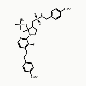 COc1ccc(CNS(=O)(=O)CC2CCN(c3nccc(OCc4ccc(OC)cc4)c3F)C2(C)O[Si](C)(C)C(C)(C)C)cc1